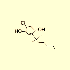 CCCCCC(C)(C)c1cc(O)c(Cl)cc1O